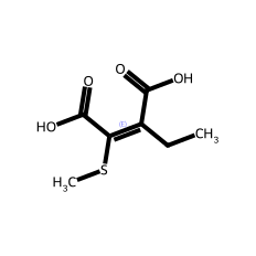 CC/C(C(=O)O)=C(\SC)C(=O)O